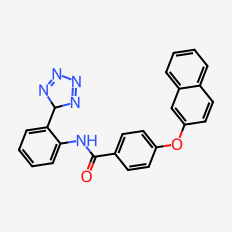 O=C(Nc1ccccc1C1N=NN=N1)c1ccc(Oc2ccc3ccccc3c2)cc1